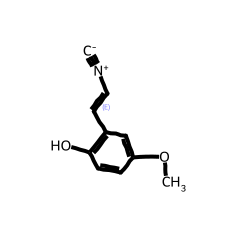 [C-]#[N+]/C=C/c1cc(OC)ccc1O